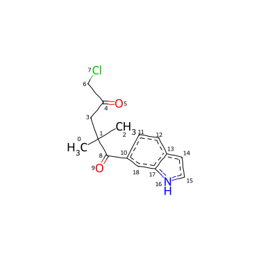 CC(C)(CC(=O)CCl)C(=O)c1ccc2cc[nH]c2c1